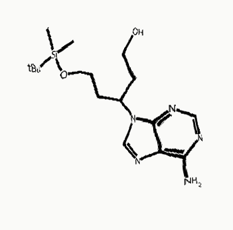 CC(C)(C)[Si](C)(C)OCCC(CCO)n1cnc2c(N)ncnc21